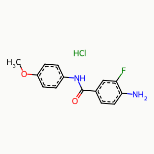 COc1ccc(NC(=O)c2ccc(N)c(F)c2)cc1.Cl